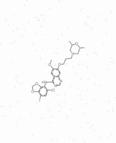 COc1cc2c(Nc3c(Cl)cc(I)c4c3OCO4)ncnc2cc1OCCCN1CC(C)OC(C)C1